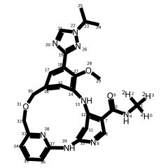 [2H]C([2H])([2H])NC(=O)c1cnc2cc1Nc1cc(cc(-c3ncn(C(C)C)n3)c1OC)COCc1cccc(n1)N2